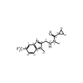 CN(NCc1nc2cc(C(F)(F)F)ccc2n1C)C(=O)C1CC1